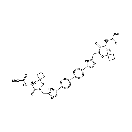 COC(=O)NCC(=O)N(Cc1ncc(-c2ccc(-c3ccc(-c4cnc(CN(OC5(C)CCC5)C(=O)CNC(=O)OC)[nH]4)cc3)cc2)[nH]1)OC1(C)CCC1